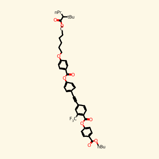 CCCCOC(=O)c1ccc(OC(=O)c2ccc(C#Cc3ccc(OC(=O)c4ccc(OCCCCCCOC(=O)C(CCC)C(C)(C)C)cc4)cc3)cc2C(F)(F)F)cc1